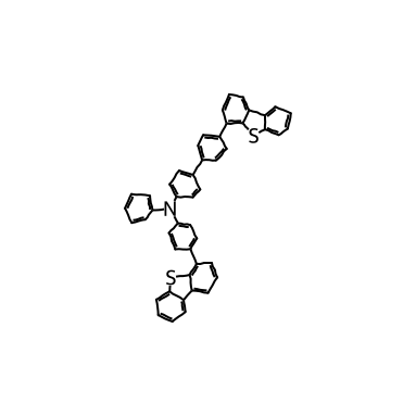 c1ccc(N(c2ccc(-c3ccc(-c4cccc5c4sc4ccccc45)cc3)cc2)c2ccc(-c3cccc4c3sc3ccccc34)cc2)cc1